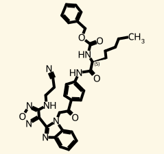 CCCCC[C@H](NC(=O)OCc1ccccc1)C(=O)Nc1ccc(C(=O)Cn2c(-c3nonc3NCCC#N)nc3ccccc32)cc1